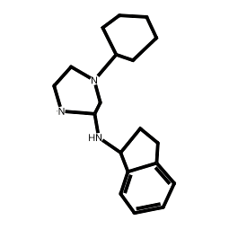 c1ccc2c(c1)CCC2NC1CN(C2CCCCC2)CC[N]1